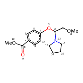 COCC(Oc1ccc(C(=O)OC)cc1)N1CCCC1